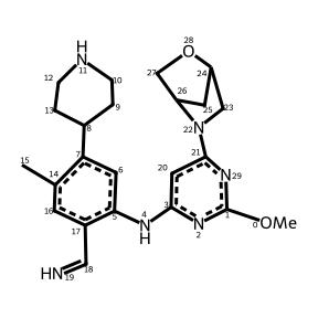 COc1nc(Nc2cc(C3CCNCC3)c(C)cc2C=N)cc(N2CC3CC2CO3)n1